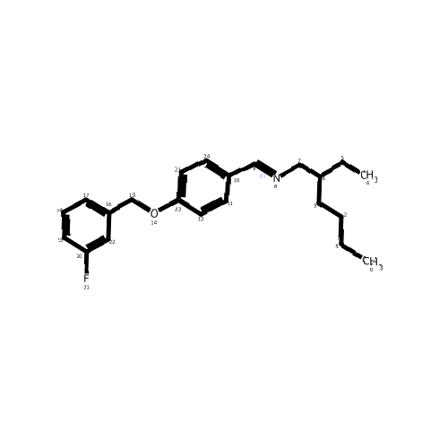 CCCCC(CC)C/N=C/c1ccc(OCc2cccc(F)c2)cc1